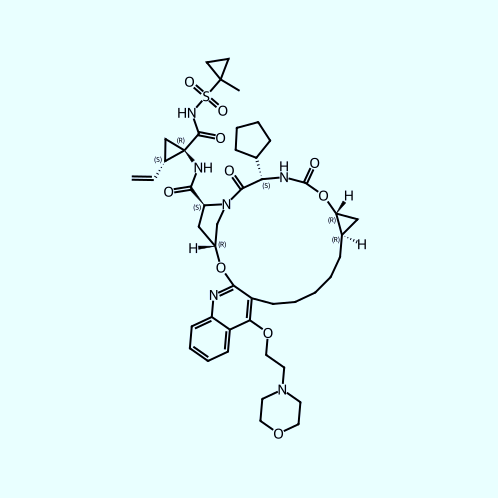 C=C[C@@H]1C[C@]1(NC(=O)[C@@H]1C[C@@H]2CN1C(=O)[C@H](C1CCCC1)NC(=O)O[C@@H]1C[C@H]1CCCCCc1c(nc3ccccc3c1OCCN1CCOCC1)O2)C(=O)NS(=O)(=O)C1(C)CC1